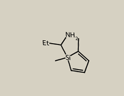 CCC(N)[Si]1(C)C=CC=C1C